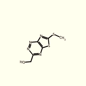 CSc1nc2nnc(CO)nc2s1